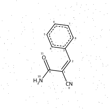 N#CC(=Cc1ccccc1)C(N)=O